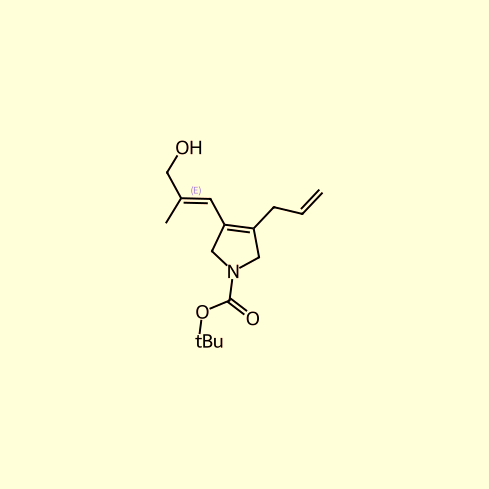 C=CCC1=C(/C=C(\C)CO)CN(C(=O)OC(C)(C)C)C1